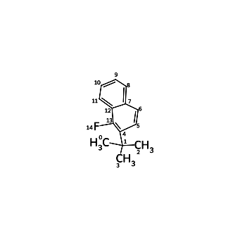 CC(C)(C)c1ccc2ccccc2c1F